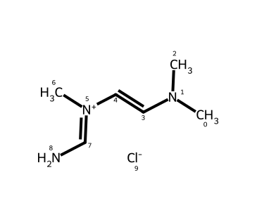 CN(C)C=C[N+](C)=CN.[Cl-]